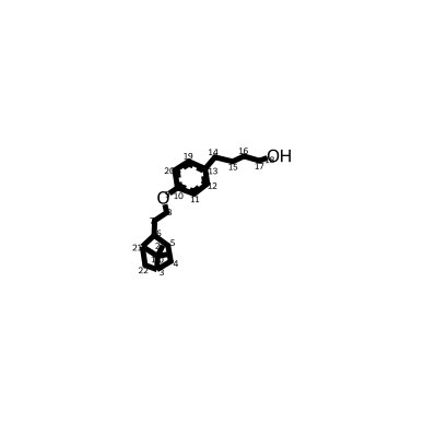 CC1(C)C2CCC(CCOc3ccc(CCCCO)cc3)C1C2